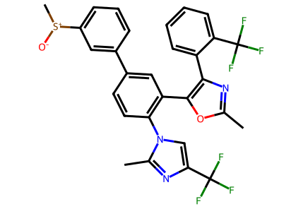 Cc1nc(-c2ccccc2C(F)(F)F)c(-c2cc(-c3cccc([S+](C)[O-])c3)ccc2-n2cc(C(F)(F)F)nc2C)o1